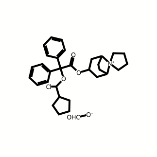 O=C(OC1CC2CCC(C1)[N+]21CCCC1)C(OC(Cl)C1CCCC1)(c1ccccc1)c1ccccc1.O=C[O-]